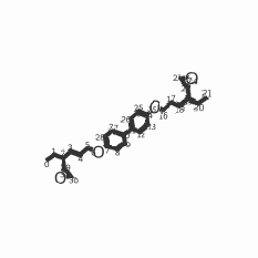 CCC(CCCOc1ccc(-c2ccc(OCCCC(CC)C3CO3)cc2)cc1)C1CO1